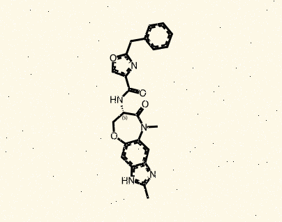 Cc1nc2cc3c(cc2[nH]1)OC[C@H](NC(=O)c1coc(Cc2ccccc2)n1)C(=O)N3C